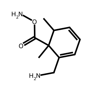 CC1C=CC=C(CN)C1(C)C(=O)ON